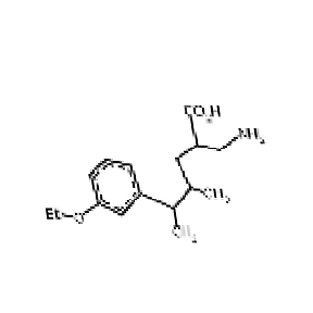 CCOc1cccc(C(C)C(C)CC(CN)C(=O)O)c1